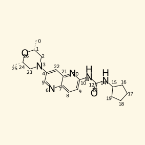 C[C@@H]1CN(c2cnc3ccc(NC(=O)NC4CCCC4)nc3c2)C[C@H](C)O1